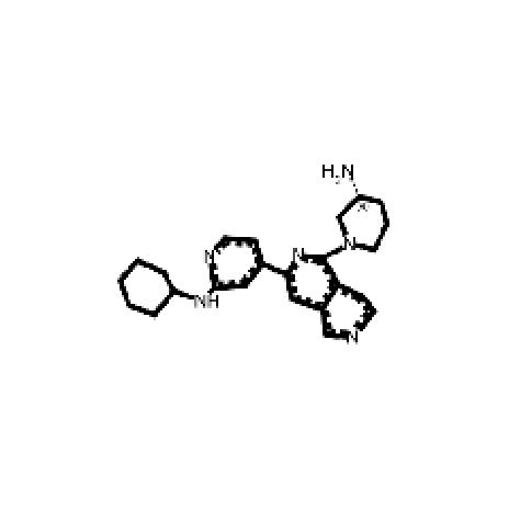 N[C@@H]1CCCN(c2nc(-c3ccnc(NC4CCCCC4)c3)cc3cnccc23)C1